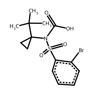 CC(C)(C)C1(N(C(=O)O)S(=O)(=O)c2ccccc2Br)CC1